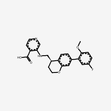 COc1ccc(F)cc1-c1ccc2c(c1)OCC[C@H]2CNc1cnccc1C(=O)O